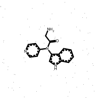 NCC(=O)N(c1ccncc1)c1c[nH]c2ccccc12